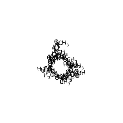 CC(=O)N1CCN(c2ccc(C(C3OC(=O)C(CC(C)C)N(C)CC(C)OC(=O)C(CC(C)C)N(C)C(=O)C(Cc4ccc(S(=O)(=O)O)cc4)OC(=O)C(CC(C)C)N(C)CC(C)OC(=O)C(CC(C)C)N(C)C3=O)=S(=O)=O)cc2)CC1